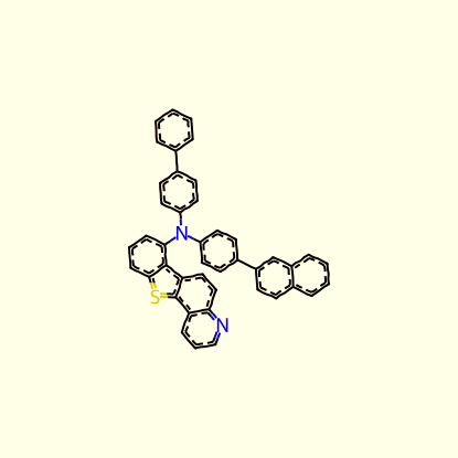 c1ccc(-c2ccc(N(c3ccc(-c4ccc5ccccc5c4)cc3)c3cccc4sc5c6cccnc6ccc5c34)cc2)cc1